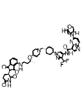 C[C@H](CCNc1cccc2c1C(=O)C(C1CCC(=O)NC1=O)C2=O)OC1CCN(C[C@H]2CC[C@H](n3cc(NC(=O)c4cnn5ccc(N6C[C@H]7C[C@@H]6CO7)nc45)c(C(F)F)n3)CC2)CC1